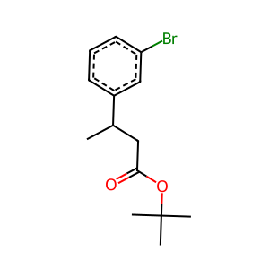 CC(CC(=O)OC(C)(C)C)c1cccc(Br)c1